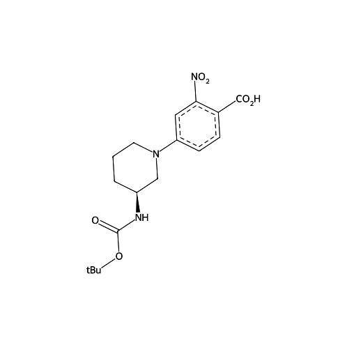 CC(C)(C)OC(=O)N[C@H]1CCCN(c2ccc(C(=O)O)c([N+](=O)[O-])c2)C1